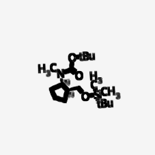 CN(C(=O)OC(C)(C)C)[C@H]1CCC[C@@H]1CO[Si](C)(C)C(C)(C)C